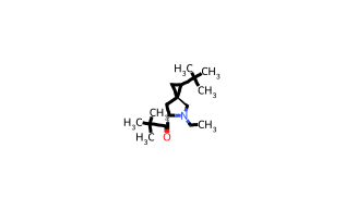 CCN1C[C@]2(CC2C(C)(C)C)C[C@H]1C(=O)C(C)(C)C